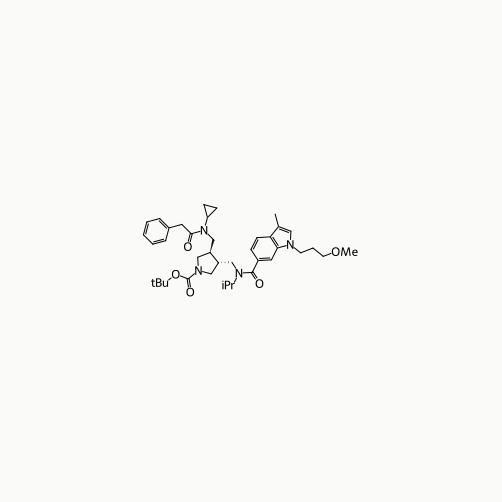 COCCCn1cc(C)c2ccc(C(=O)N(C[C@@H]3CN(C(=O)OC(C)(C)C)C[C@H]3CN(C(=O)Cc3ccccc3)C3CC3)C(C)C)cc21